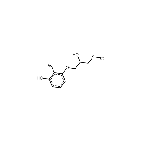 CCSCC(O)COc1cccc(O)c1C(C)=O